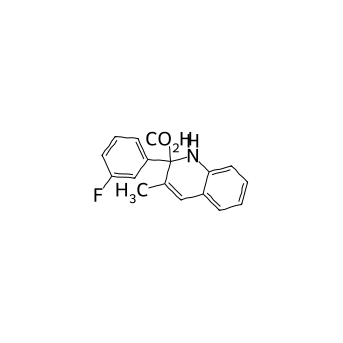 CC1=Cc2ccccc2NC1(C(=O)O)c1cccc(F)c1